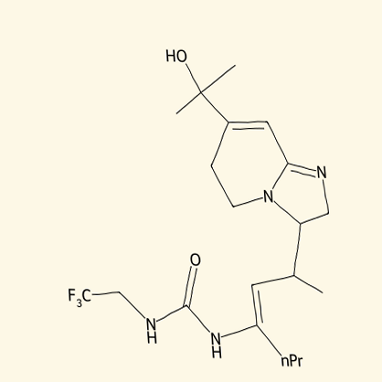 CCC/C(=C\C(C)C1CN=C2C=C(C(C)(C)O)CCN21)NC(=O)NCC(F)(F)F